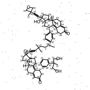 CN(CCC(C)(C)C#C[C@]1(O)CC[C@H]2[C@@H]3CCC4=CC(=O)CCC4=C3[C@@H](c3ccc(C(C)(CO)CO)cc3)C[C@@]21C)c1ccc([C@H]2C[C@@]3(C)[C@@H](CC[C@@]3(O)C#CC3(C)COC3)[C@@H]3CCC4=CC(=O)CCC4=C32)cc1